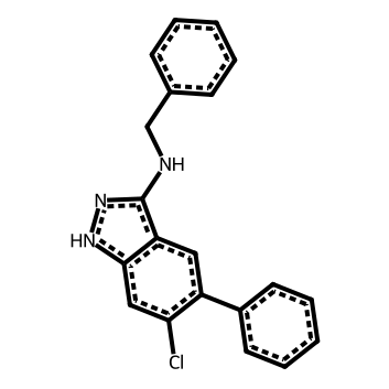 Clc1cc2[nH]nc(NCc3ccccc3)c2cc1-c1ccccc1